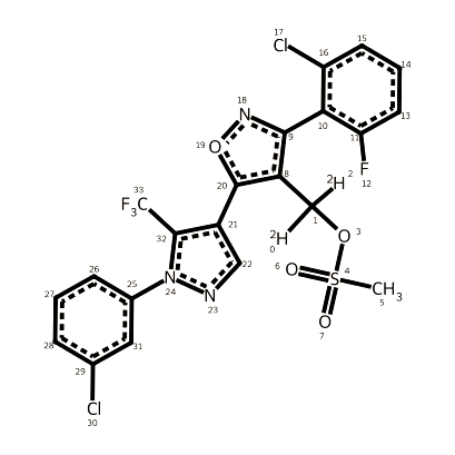 [2H]C([2H])(OS(C)(=O)=O)c1c(-c2c(F)cccc2Cl)noc1-c1cnn(-c2cccc(Cl)c2)c1C(F)(F)F